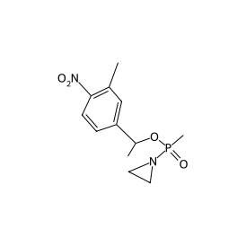 Cc1cc(C(C)OP(C)(=O)N2CC2)ccc1[N+](=O)[O-]